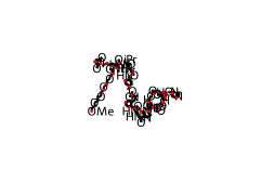 COCCOCCOCCOCCOCCC(=O)N[C@@H](CCCCN1C(=O)C=CC1=O)C(=O)N[C@H](C(=O)N[C@@H](C)C(=O)Nc1ccc(COC(=O)N(C)Cc2ccccc2C(=O)Nc2nc3c(ncn3[C@@H]3O[C@@H]4CO[P+](=O)O[C@H]5C[C@H](Oc6ccncn6)C[C@@H]5CO[PH](=O)O[C@@H]3C4)c(=O)[nH]2)cc1)C(C)C